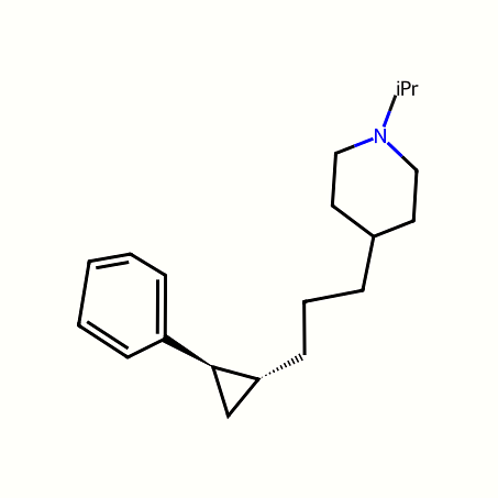 CC(C)N1CCC(CCC[C@@H]2C[C@H]2c2ccccc2)CC1